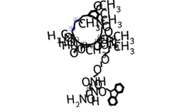 COc1cc2cc(c1Cl)N(C)C(=O)C[C@H](OC(=O)[C@H](C)N(C)C(=O)CCOCCOCCNC(=O)[C@H](CC(N)=O)NC(=O)OCC1c3ccccc3-c3ccccc31)[C@]1(C)OC1[C@H](C)[C@@H]1C[C@@](O)(NC(=O)O1)[C@H](OC)/C=C/C=C(\C)C2